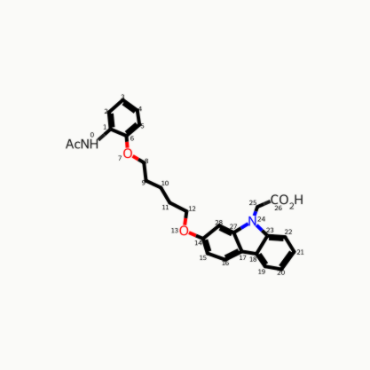 CC(=O)Nc1ccccc1OCCCCCOc1ccc2c3ccccc3n(CC(=O)O)c2c1